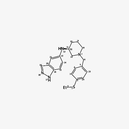 CCSc1ccc(CN2CCC[C@H](Nc3ccc4[nH]ncc4c3)C2)cc1